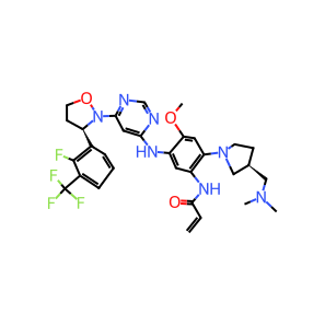 C=CC(=O)Nc1cc(Nc2cc(N3OCC[C@@H]3c3cccc(C(F)(F)F)c3F)ncn2)c(OC)cc1N1CC[C@@H](CN(C)C)C1